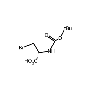 CC(C)(C)OC(=O)N[C@@H](CBr)C(=O)O